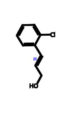 OC/C=C/c1ccccc1Cl